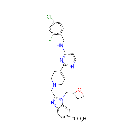 O=C(O)c1ccc2nc(CN3CC=C(c4nccc(NCc5ccc(Cl)cc5F)n4)CC3)n(CC3CCO3)c2c1